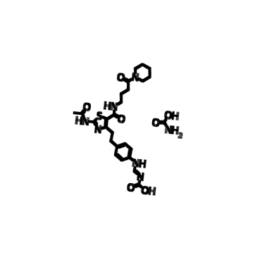 CC(=O)Nc1nc(CCc2ccc(NC=NC(=O)O)cc2)c(C(=O)NCCCC(=O)N2CCCCC2)s1.NC(=O)O